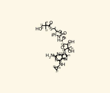 CC(C)NP(=O)(OCCSC(=O)C(C)(C)CO)OC[C@H]1OC(n2cnc3c(NC4CC4)nc(N)nc32)[C@@](C)(O)C1O